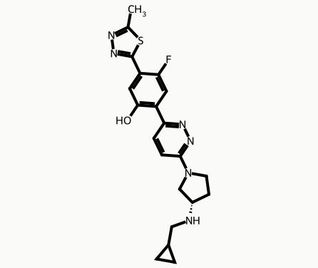 Cc1nnc(-c2cc(O)c(-c3ccc(N4CC[C@H](NCC5CC5)C4)nn3)cc2F)s1